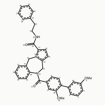 COc1cccc(-c2ccc(C(=O)N3Cc4ccc(C(=O)NCCc5ccccn5)n4Cc4ccccc43)cc2OC)c1